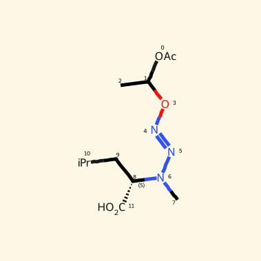 CC(=O)OC(C)ON=NN(C)[C@@H](CC(C)C)C(=O)O